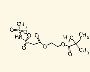 CCC(C)(C)C(=O)OCCOC(=O)CS(=O)(=O)NS(C)(=O)=O